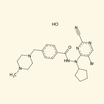 CN1CCN(Cc2ccc(C(=O)NN(c3nc(C#N)ncc3Br)C3CCCC3)cc2)CC1.Cl